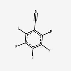 N#Cc1c(F)c(F)c(I)c(F)c1I